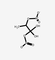 CC(O[N+](=O)[O-])C(O)(O)O[N+](=O)[O-]